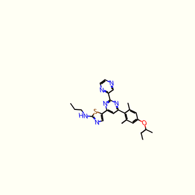 CCCNc1ncc(-c2cc(-c3c(C)cc(OC(C)CC)cc3C)nc(-c3cnccn3)n2)s1